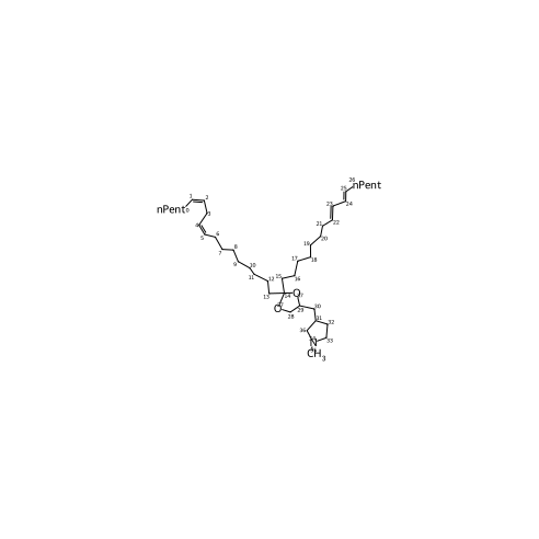 CCCCC/C=C\C/C=C\CCCCCCCCC1(CCCCCCC/C=C/C=C/CCCCC)OCC(CC2CCN(C)C2)O1